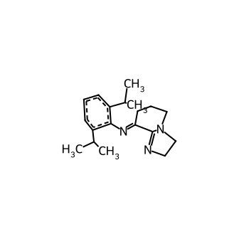 CC(C)c1cccc(C(C)C)c1/N=C1\CCCN2CCN=C12